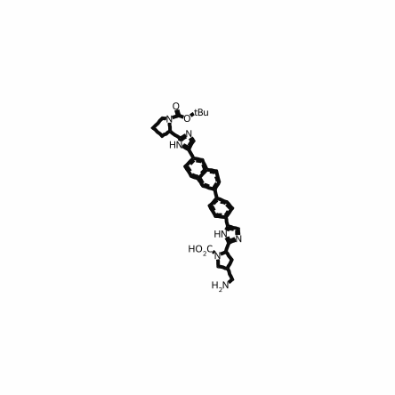 CC(C)(C)OC(=O)N1CCCC1c1ncc(-c2ccc3cc(-c4ccc(-c5cnc(C6CC(CN)CN6C(=O)O)[nH]5)cc4)ccc3c2)[nH]1